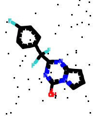 Oc1nc(C(F)(F)c2ccc(F)cc2)nc2cccn12